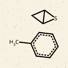 C1C2SC12.Cc1ccccc1